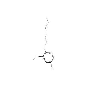 CCCOCCOc1ncc(Br)cc1OC